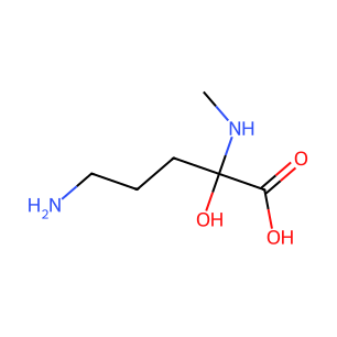 CNC(O)(CCCN)C(=O)O